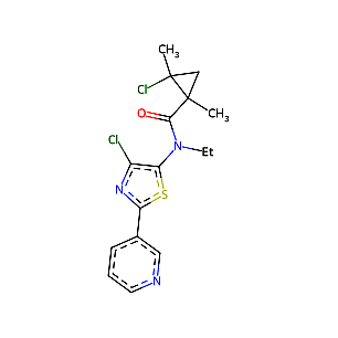 CCN(C(=O)C1(C)CC1(C)Cl)c1sc(-c2cccnc2)nc1Cl